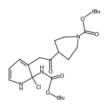 CC(C)(C)OC(=O)NC1(Cl)NC=CC=C1CC(=O)C1CCN(C(=O)OC(C)(C)C)CC1